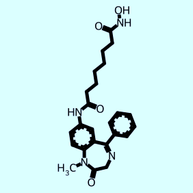 CN1C(=O)CN=C(c2ccccc2)c2cc(NC(=O)CCCCCCC(=O)NO)ccc21